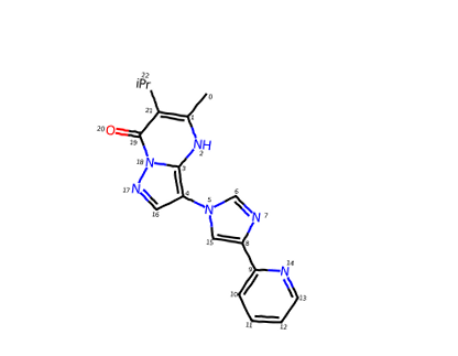 Cc1[nH]c2c(-n3cnc(-c4ccccn4)c3)cnn2c(=O)c1C(C)C